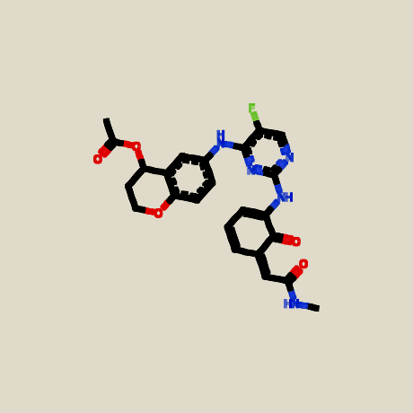 CNC(=O)C=C1C=CC=C(Nc2ncc(F)c(Nc3ccc4c(c3)C(OC(C)=O)CCO4)n2)C1=O